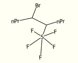 CCCC(Br)C(CCC)S(F)(F)(F)(F)F